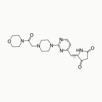 O=C1CC(=O)/C(=C/c2ccnc(N3CCN(CC(=O)N4CCOCC4)CC3)n2)N1